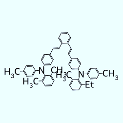 CCc1cccc(C)c1N(c1ccc(C)cc1)c1ccc(C=Cc2ccccc2C=Cc2ccc(N(c3ccc(C)cc3)c3c(C)cccc3C)cc2)cc1